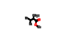 CCC(C)OC(=O)C(C(=O)O)C(CC)CC